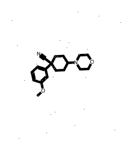 COc1cccc(C2(C#N)CCC(N3CCOCC3)CC2)c1